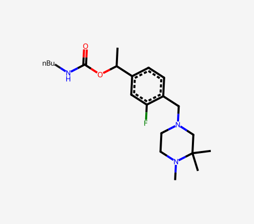 CCCCNC(=O)OC(C)c1ccc(CN2CCN(C)C(C)(C)C2)c(F)c1